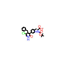 COC(=O)[C@H](Cc1ccc(-c2c(Cc3ccccc3)c(Cl)c[nH]c2=O)cc1)NC(=O)OC(C)(C)C